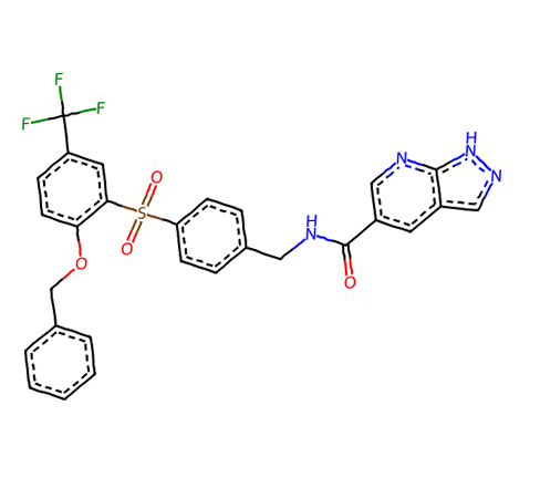 O=C(NCc1ccc(S(=O)(=O)c2cc(C(F)(F)F)ccc2OCc2ccccc2)cc1)c1cnc2[nH]ncc2c1